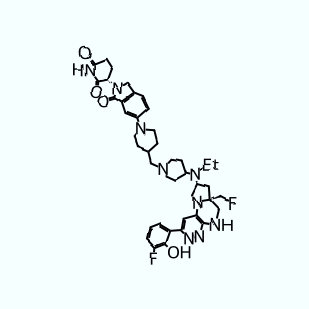 CCN(C1CCN(CC2CCN(c3ccc4c(c3)C(=O)N([C@H]3CCC(=O)NC3=O)C4)CC2)CC1)[C@H]1CN2c3cc(-c4cccc(F)c4O)nnc3NC[C@@]2(CF)C1